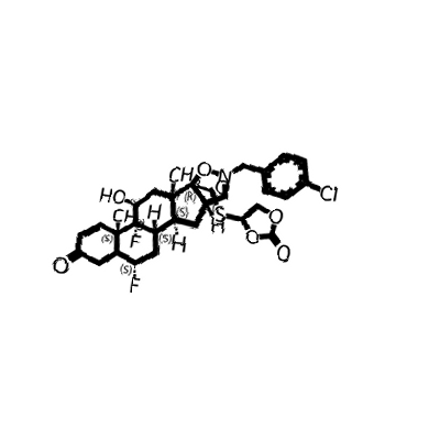 C[C@]12C=CC(=O)CC1[C@@H](F)C[C@H]1[C@@H]3C[C@H]4CN(Cc5ccc(Cl)cc5)O[C@@]4(C(=O)SC4COC(=O)O4)[C@@]3(C)C[C@H](O)[C@@]12F